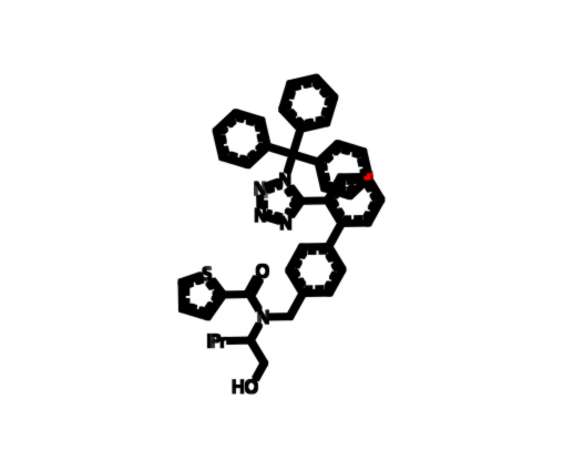 CC(C)C(CO)N(Cc1ccc(-c2ccccc2-c2nnnn2C(c2ccccc2)(c2ccccc2)c2ccccc2)cc1)C(=O)c1cccs1